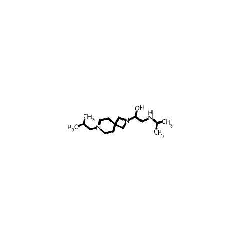 CC(C)CN1CCC2(CC1)CN(C(O)CNC(C)C)C2